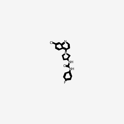 O=C(Nc1ccc(F)cc1)NC1CCN(c2ccnc3cc(Cl)ccc23)C1